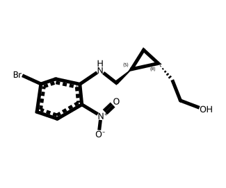 O=[N+]([O-])c1ccc(Br)cc1NC[C@H]1C[C@@H]1CCO